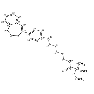 CC(N)(CN)C(=O)OCCCCCSc1ccc(C2=Cc3ccccc3CCC2)cc1